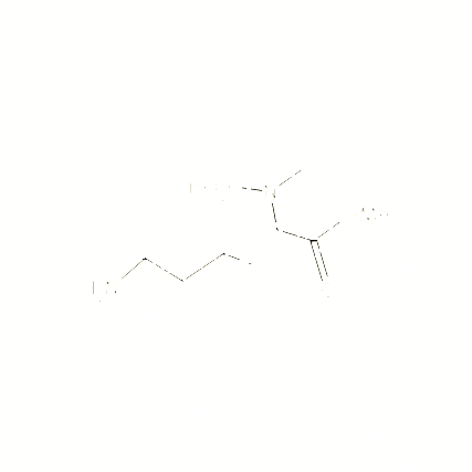 COC(=O)[C@H](CCCCN)N(C)C(=O)O